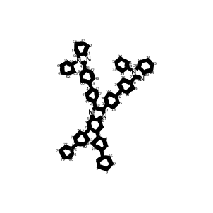 c1ccc(-c2ccc(-c3cc4nc(-c5ccc(-c6ccc(-c7nc8ccccc8n7-c7ccccc7)cc6)cc5)c(-c5ccc(-c6ccc(-c7nc8ccccc8n7-c7ccccc7)cc6)cc5)nc4cc3-c3ccc(-c4ccccc4)cc3)cc2)cc1